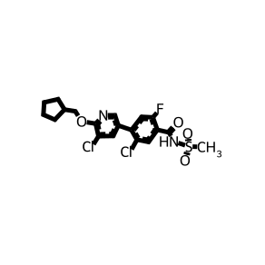 CS(=O)(=O)NC(=O)c1cc(Cl)c(-c2cnc(OCC3CCCC3)c(Cl)c2)cc1F